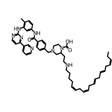 CC/C=C\CC=CCC=CC/C=C\C/C=C\CCCCNCCC1CN(Cc2ccc(C(=O)Nc3ccc(C)c(Nc4nccc(-c5cccnc5)n4)c3)cc2)CCN1C(=O)O